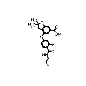 CC1(C)Cc2c(Oc3ccc(C(=O)NCCF)c(F)c3)cc(C(=O)O)cc2O1